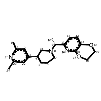 Cc1cc([C@@H]2CCCN([C@H](C)c3ccc4c(n3)OCCO4)C2)cc(C)n1